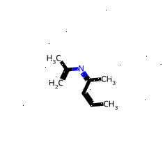 C=C(C)/N=C(C)\C=C/C